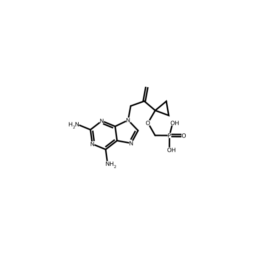 C=C(Cn1cnc2c(N)nc(N)nc21)C1(OCP(=O)(O)O)CC1